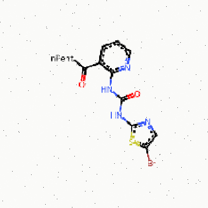 CCCCCC(=O)c1cccnc1NC(=O)Nc1ncc(Br)s1